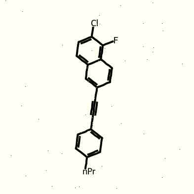 CCCc1ccc(C#Cc2ccc3c(F)c(Cl)ccc3c2)cc1